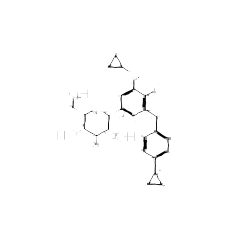 Cc1c(Cc2ccc(C3CC3)cc2)cc([C@@H]2O[C@H](CO)[C@@H](O)[C@H](O)[C@H]2O)cc1OC1CC1